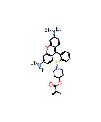 C=C(C)C(=O)OC1CCN(Sc2ccccc2-c2c3ccc(=[N+](CC)CC)cc-3oc3cc(N(CC)CC)ccc23)CC1